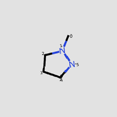 CN1CCC[N]1